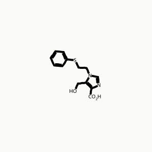 O=C(O)c1ncn(CCSc2ccccc2)c1CO